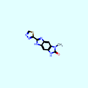 Cn1c(=O)[nH]c2cc3[nH]c(-c4nncs4)nc3cc21